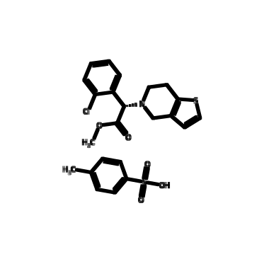 COC(=O)[C@H](c1ccccc1Cl)N1CCc2sccc2C1.Cc1ccc(S(=O)(=O)O)cc1